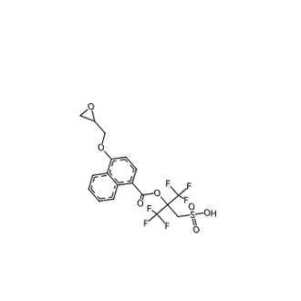 O=C(OC(CS(=O)(=O)O)(C(F)(F)F)C(F)(F)F)c1ccc(OCC2CO2)c2ccccc12